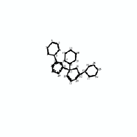 [c]1cc(C2CCCCC2)cc(C2(C3CCCCC3)C=CC=C(C3CCCCC3)C2)c1